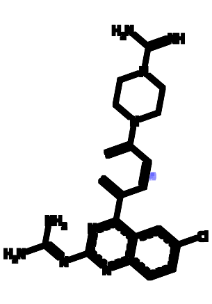 C=C(/C=C\C(=C)N1CCN(C(=N)N)CC1)c1nc(N=C(N)N)nc2ccc(Cl)cc12